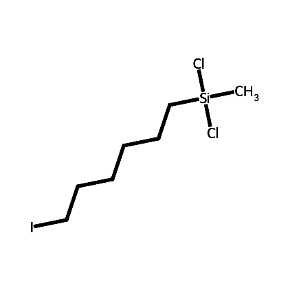 C[Si](Cl)(Cl)CCCCCCI